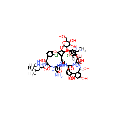 CCC1(N)C[C@H](OC2[C@@H](Oc3c4cc5cc3Oc3ccc(cc3Cl)[C@@H](O)[C@@H](NC(=O)[C@@H](CC(C)C)NC)C(=O)N[C@@H](CC(N)=O)C(=O)N[C@H]5C(=N)N[C@H]3C(=O)N[C@H](C(=O)N[C@H](CO)c5cc(O)cc(O)c5-c5cc3ccc5O)[C@H](O)c3ccc(c(Cl)c3)O4)OC(CO)C(O)[C@@H]2O)OC(C)[C@H]1O